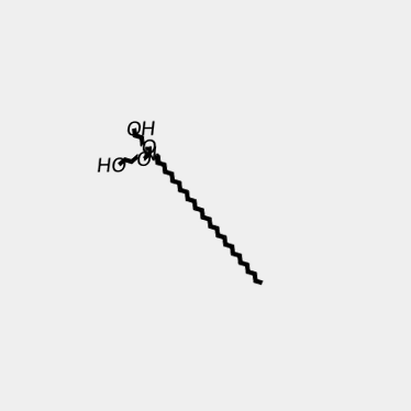 CCCCCCCCCCCCCCCCCCCCCCCCCCCC=CN(OCCCO)OCCCO